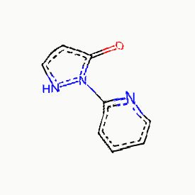 O=c1cc[nH]n1-c1ccccn1